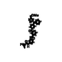 COCc1nnn(C(c2ccccc2)C2CCN(C(=O)c3cc(-c4nc5cc(NC(=O)[C@@H]6C[C@@H]6F)ccc5o4)ccn3)CC2)n1